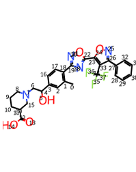 Cc1cc(C(O)CN2CCC[C@H](C(=O)O)C2)ccc1-c1noc(-c2onc(-c3ccccc3)c2C(F)(F)F)n1